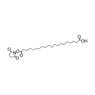 O=C(O)CCCCCCCCCCCCCCCCCCC(=O)ON1C(=O)CCC1=O